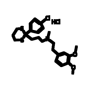 COc1ccc(CCN(C)CCCC2(c3ccc(Cl)cc3)SCCCS2)cc1OC.Cl